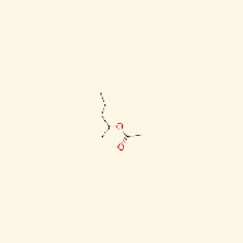 CCC[C](C)OC(C)=O